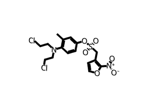 Cc1cc(OS(=O)(=O)Cc2ccoc2[N+](=O)[O-])ccc1N(CCCl)CCCl